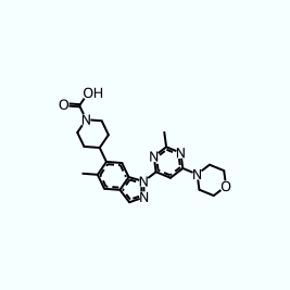 Cc1nc(N2CCOCC2)cc(-n2ncc3cc(C)c(C4CCN(C(=O)O)CC4)cc32)n1